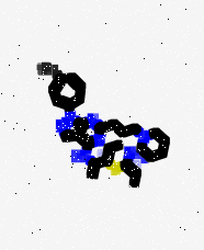 C=C(Nc1nc(CCCN2CCCCC2)nc2c1cnn2C1=CC=C(C(C)(C)C)C=CC1)/C(=C/C)S/C(N)=C\C